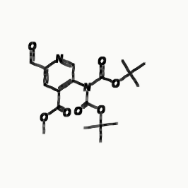 COC(=O)c1cc(C=O)ncc1N(C(=O)OC(C)(C)C)C(=O)OC(C)(C)C